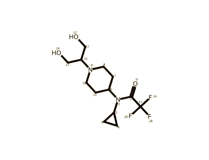 O=C(N(C1CC1)C1CCN(C(CO)CO)CC1)C(F)(F)F